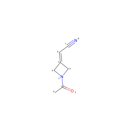 CC(=O)N1CC(=CC#N)C1